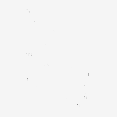 Brc1cccc(Nc2nccc(-c3ccnc4[nH]ncc34)n2)c1